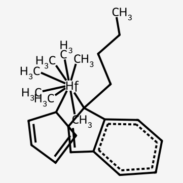 CCCC[C]1([Hf]([CH3])([CH3])([CH3])([CH3])([CH3])([CH3])([CH3])[CH]2C=CC=C2)C=Cc2ccccc21